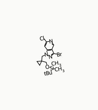 CC(C)(C)[Si](C)(C)OCC1(Cn2nc(Br)c3cnc(Cl)cc32)CC1